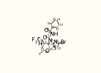 C[C@H]1C[C@H]2[C@@H](C(F)(F)F)OC(NC(=O)c3ccccc3)=N[C@@]2(c2nc(Br)cs2)CO1